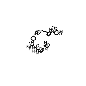 C[C@@H]1CN(CCCc2cccc3c2n(C)c(=O)n3C2CCC(=O)NC2=O)CCN1C[C@H]1CC[C@H](n2cc(NC(=O)c3cnn4ccc(N5C[C@H]6C[C@@H]5CO6)nc34)c(C(F)F)n2)CC1